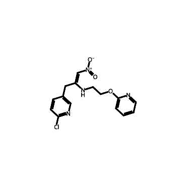 O=[N+]([O-])C=C(Cc1ccc(Cl)nc1)NCCOc1ccccn1